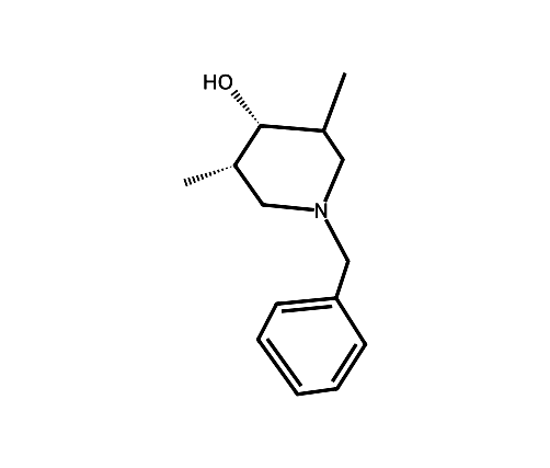 CC1CN(Cc2ccccc2)C[C@H](C)[C@@H]1O